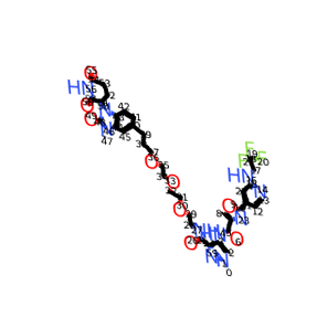 Cn1cc(NC(=O)c2coc(-c3ccnc(NCC(F)(F)F)c3)n2)c(C(=O)NCCOCCOCCOCCCc2ccc3c(c2)n(C)c(=O)n3C2CCC(=O)NC2=O)n1